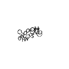 O=C(O)c1c(NC2CCCCO2)sc2c1CC(CN1C(=O)c3ccccc3C1=O)NC2